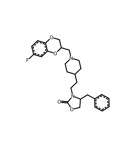 O=C1OCC(Cc2ccccc2)N1CCC1CCN(CC2COc3ccc(F)cc3O2)CC1